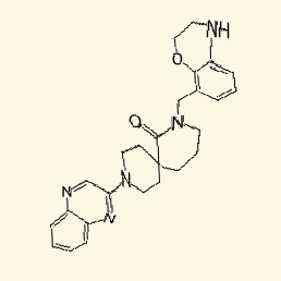 O=C1N(Cc2cccc3c2OCCN3)CCCC12CCN(c1cnc3ccccc3n1)CC2